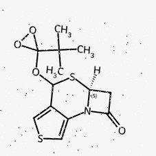 CC(C)(C)C1(OC2S[C@H]3CC(=O)N3c3cscc32)OO1